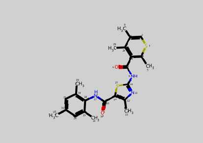 CC1=CSC(C)C(C(=O)Nc2nc(C)c(C(=O)Nc3c(C)cc(C)cc3C)s2)=C1C